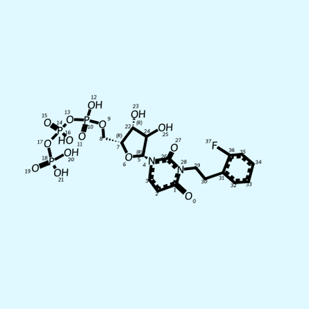 O=c1ccn([C@@H]2O[C@H](COP(=O)(O)OP(=O)(O)OP(=O)(O)O)[C@H](O)C2O)c(=O)n1CCc1ccccc1F